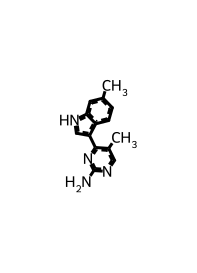 Cc1ccc2c(-c3nc(N)ncc3C)c[nH]c2c1